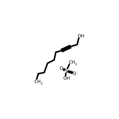 CCCCCCC#CCO.CS(=O)(=O)O